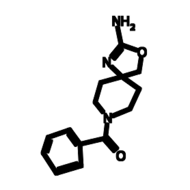 NC1=NC2(CCN(C(=O)c3ccccc3)CC2)CO1